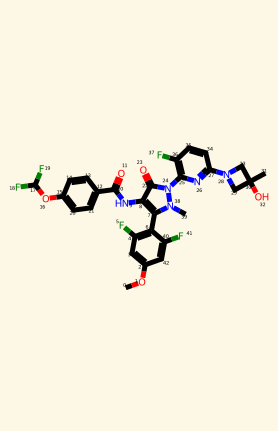 COc1cc(F)c(-c2c(NC(=O)c3ccc(OC(F)F)cc3)c(=O)n(-c3nc(N4CC(C)(O)C4)ccc3F)n2C)c(F)c1